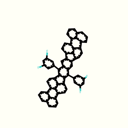 Fc1cc(F)cc(-c2c3cc4c(cc3c(-c3cc(F)cc(F)c3)c3c5ccc6c7cccc8cccc(c9ccc(c23)c5c96)c87)c2ccc3c5cccc6cccc(c7ccc4c2c73)c65)c1